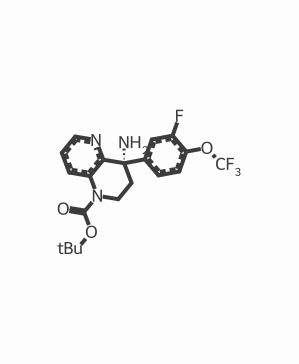 CC(C)(C)OC(=O)N1CC[C@](N)(c2ccc(OC(F)(F)F)c(F)c2)c2ncccc21